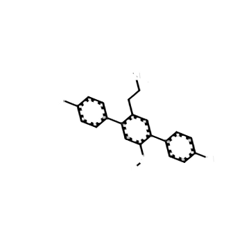 COc1cc(-c2ccc(Cl)cc2)c(CCN)cc1-c1ccc(Cl)cc1